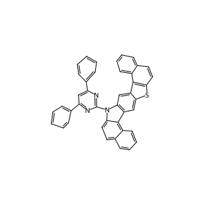 c1ccc(-c2cc(-c3ccccc3)nc(-n3c4cc5c(cc4c4c6ccccc6ccc43)sc3ccc4ccccc4c35)n2)cc1